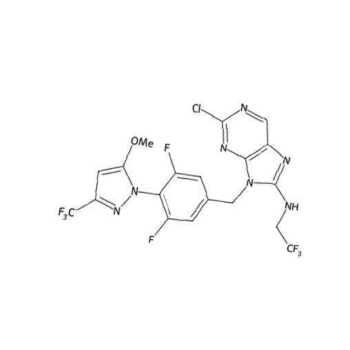 COc1cc(C(F)(F)F)nn1-c1c(F)cc(Cn2c(NCC(F)(F)F)nc3cnc(Cl)nc32)cc1F